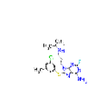 Cc1cc(Cl)cc(Sc2nc3c(N)nc(F)nc3n2CCCNC(C)C)c1